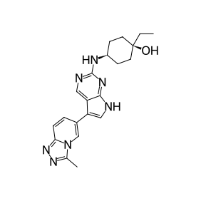 CC[C@]1(O)CC[C@@H](Nc2ncc3c(-c4ccc5nnc(C)n5c4)c[nH]c3n2)CC1